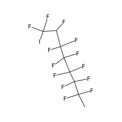 CC(F)(F)C(F)(F)C(F)(F)C(F)(F)C(F)(F)C(F)C(F)(F)I